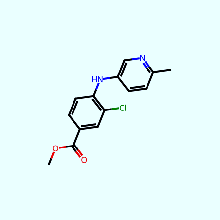 COC(=O)c1ccc(Nc2ccc(C)nc2)c(Cl)c1